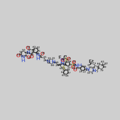 C=C(CC)CCC1=C(CN2CCN(c3ccc(C(=O)NS(=O)(=O)c4ccc(N[C@H](CCN5CCN(CCCC(=O)Nc6cccc7c6C(=O)N(C6CCC(=O)NC6=O)C7=O)CC5)CSc5ccccc5)c(S(=O)(=O)C(F)(F)F)c4)cc3)CC2)CCC(C)(C)C1